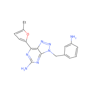 CCc1ccc(-c2nc(N)nc3c2nnn3Cc2cccc(N)c2)o1